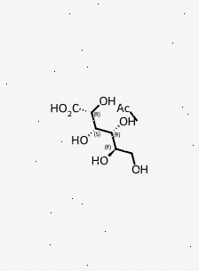 CC(C)=O.O=C(O)[C@H](O)[C@@H](O)[C@H](O)[C@H](O)CO